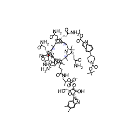 C/C1=C2N=C(/C=C3N=C(/C(C)=C4/[C@@H](CCC(N)=O)[C@](C)(CC(N)=O)[C@](C)([C@@H]5N=C1[C@](C)(CCC(=O)NCC(C)OP(=O)([O-])O[C@H]1[C@@H](O)[C@@H](n6cnc7cc(C)c(C)cc76)O[C@@H]1CO)[C@H]5CC(N)=O)[N]4[Co+][C]#N)[C@@](C)(CC(N)=O)[C@@H]\3CCC(N)=O)C(C)(C)[C@@H]/2CCC(N)=O.CCOC(=O)c1cn2cc(C3CCN(C(=O)OC(C)(C)C)CC3)ccc2n1